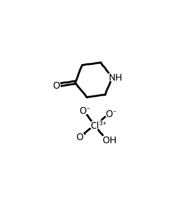 O=C1CCNCC1.[O-][Cl+3]([O-])([O-])O